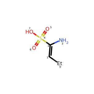 CC/C=C(\N)S(=O)(=O)O